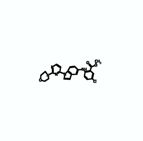 COC(=O)c1cc(Cl)ccc1Nc1ccc2c(ccn2-c2ccnc(N3CCOCC3)n2)c1